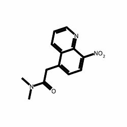 CN(C)C(=O)Cc1ccc([N+](=O)[O-])c2ncccc12